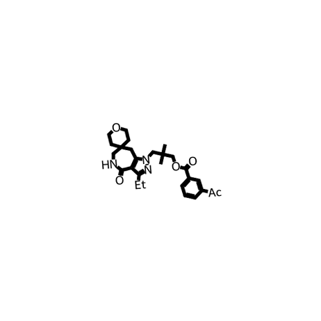 CCc1nn(CC(C)(C)COC(=O)c2cccc(C(C)=O)c2)c2c1C(=O)NCC1(CCOCC1)C2